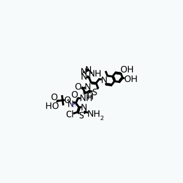 CC1c2cc(O)c(O)cc2C=CN1CC1=C(c2nnn[nH]2)N2C(=O)[C@@H](NC(=O)/C(=N\OC(C)(C)C(=O)O)c3nc(N)sc3Cl)[C@H]2SC1